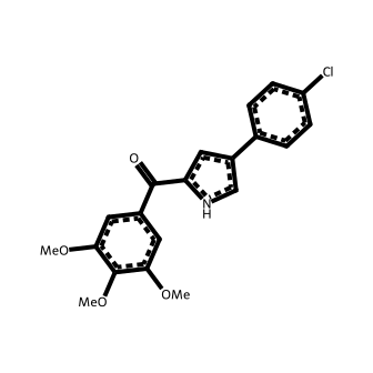 COc1cc(C(=O)c2cc(-c3ccc(Cl)cc3)c[nH]2)cc(OC)c1OC